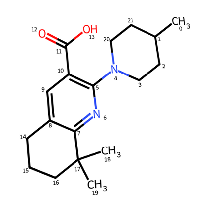 CC1CCN(c2nc3c(cc2C(=O)O)CCCC3(C)C)CC1